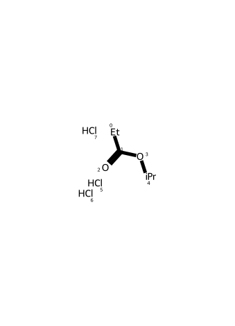 CCC(=O)OC(C)C.Cl.Cl.Cl